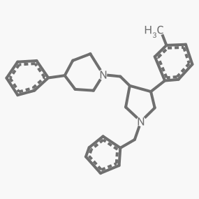 Cc1cccc(C2CN(Cc3ccccc3)CC2CN2CCC(c3ccccc3)CC2)c1